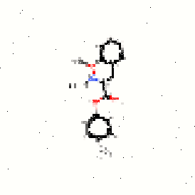 CC(C)(C)ON(C=O)[C@@H](Cc1ccccc1)C(=O)Oc1ccc([N+](=O)[O-])cc1